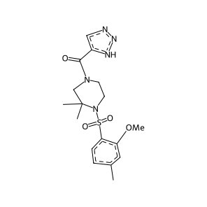 COc1cc(C)ccc1S(=O)(=O)N1CCN(C(=O)c2cnn[nH]2)CC1(C)C